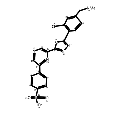 CNCc1ccc(-c2nnc(-c3cncc(-c4ccc(S(=O)(=O)C(C)C)cc4)n3)o2)c(Cl)c1